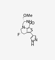 COC[C@H]1CN2C[C@@H](F)Cc3c(-c4cn[nH]c4)sc(c32)C(=O)N1